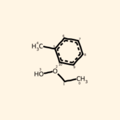 CCOO.Cc1ccccc1